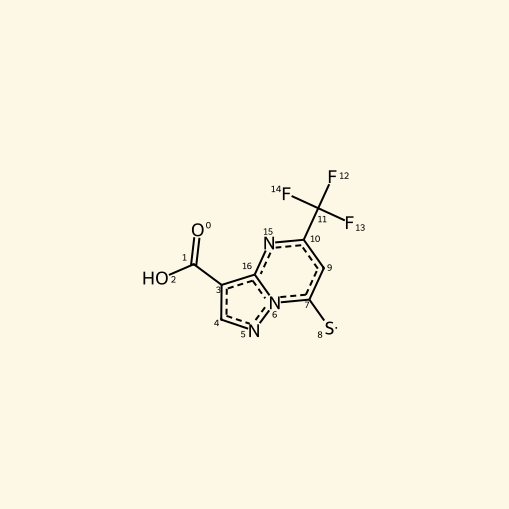 O=C(O)c1cnn2c([S])cc(C(F)(F)F)nc12